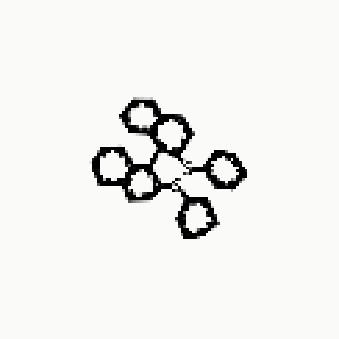 c1ccc(Sc2ccc3ccccc3c2-c2c(Sc3ccccc3)ccc3ccccc23)cc1